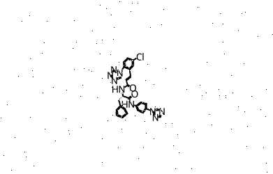 O=C(C=Cc1cc(Cl)ccc1-n1cnnn1)N[C@@H](Cc1ccccc1)C(=O)Nc1ccc(-n2cncn2)cc1